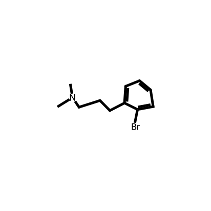 CN(C)CCCc1ccccc1Br